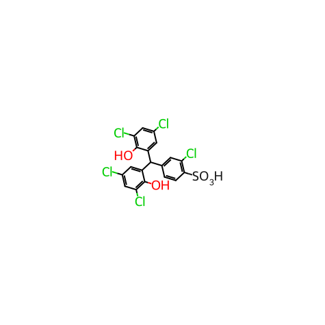 O=S(=O)(O)c1ccc(C(c2cc(Cl)cc(Cl)c2O)c2cc(Cl)cc(Cl)c2O)cc1Cl